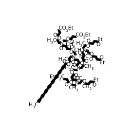 C=C(CCC(=O)CC)OC(C)CN(CC(C)OC(=O)CCC(=O)OCC)C(=O)CCC(=O)OC(C)CN(CC(C)OC(=O)CCC(=O)N(CC(C)OC(=O)CCC(=O)CC)CC(C)OC(=O)CCC(=O)CC)C(=O)CCC(=O)N(CC(C)COC(=O)C#CC#CC#CC#CC#CC#CC#CC#CC)CC(C)OC(=O)CCC(=O)N(CC(C)OC(=O)CCC(=O)OCC)CC(C)OC(=O)CCC(=O)OCC